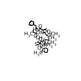 COC(=O)[C@@H](C)C[C@H](Cc1ccccc1)NC(=O)c1csc([C@@H](C[C@H](C(C)C)N(C)C(=O)C2(NC(=O)[C@H]3CCCCN3C)CSC2)OC(C)=O)n1